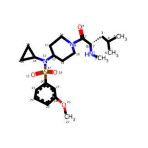 CN[C@@H](CC(C)C)C(=O)N1CCC(N(C2CC2)S(=O)(=O)c2cccc(OC)c2)CC1